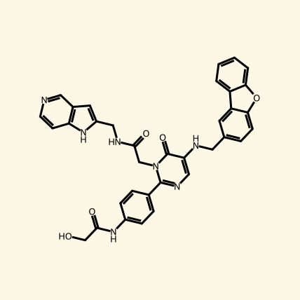 O=C(Cn1c(-c2ccc(NC(=O)CO)cc2)ncc(NCc2ccc3oc4ccccc4c3c2)c1=O)NCc1cc2cnccc2[nH]1